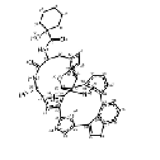 CC(C)[C@@H]1NC(=O)C(NC(=O)C2(O)CCCCC2)Cc2ccc3c(c2)C24c5cccc(c5N[C@H]2O3)-c2cccc3c2C(=CC3)c2cnc(o2)-c2nc1oc24